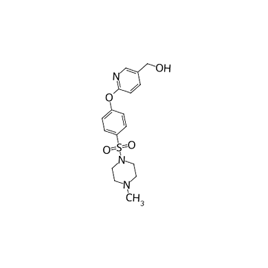 CN1CCN(S(=O)(=O)c2ccc(Oc3ccc(CO)cn3)cc2)CC1